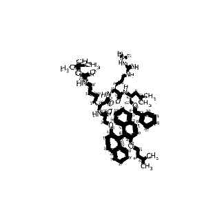 B#P(F)NC(=N)NCCC[C@@H](NC(=O)[C@@H](CCCCNC(=O)OC(C)(C)C)NC(=O)COc1ccc2ccccc2c1-c1c(OCCC(C)C)ccc2ccccc12)C(=O)N[C@H](COCc1ccccc1)CC(C)C